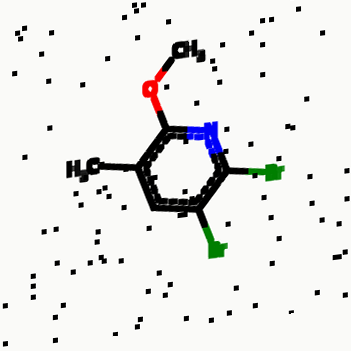 COc1nc(Br)c(Br)cc1C